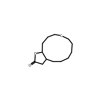 O=C1CC2CCCCCCCCCCC2O1